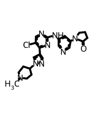 CN1CCC(n2cc(-c3nc(Nc4cncc(N5CCCC5=O)c4)ncc3Cl)cn2)CC1